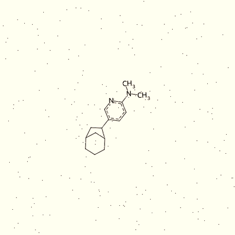 CN(C)c1ccc(C2CC3CCCC2C3)cn1